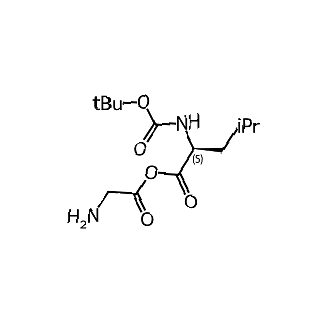 CC(C)C[C@H](NC(=O)OC(C)(C)C)C(=O)OC(=O)CN